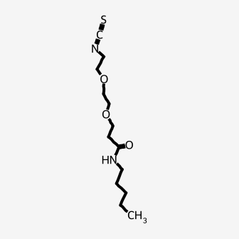 CCCCCNC(=O)CCOCCOCCN=C=S